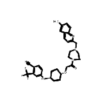 Cc1ccc2nc(CN3CCN(C(=O)CO[C@H]4CC[C@H](Nc5ccc(C#N)c(C(F)(F)F)c5)CC4)CC3)ccc2c1